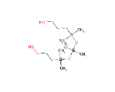 C[Si](C)(CCCO)O[Si](C)(C)O[Si](C)(C)CCCO